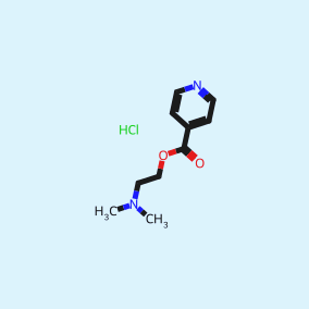 CN(C)CCOC(=O)c1ccncc1.Cl